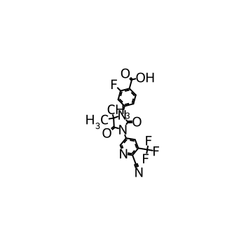 CC1(C)C(=O)N(c2cnc(C#N)c(C(F)(F)F)c2)C(=O)N1c1ccc(C(=O)O)c(F)c1